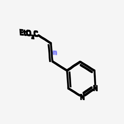 CCOC(=O)/C=C/c1ccnnc1